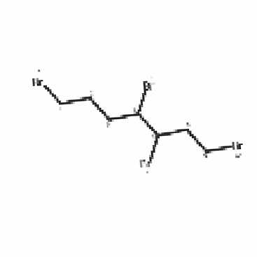 BrCCCC(Br)C(Br)CCBr